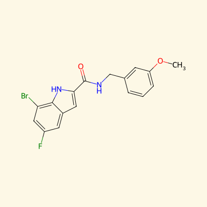 COc1cccc(CNC(=O)c2cc3cc(F)cc(Br)c3[nH]2)c1